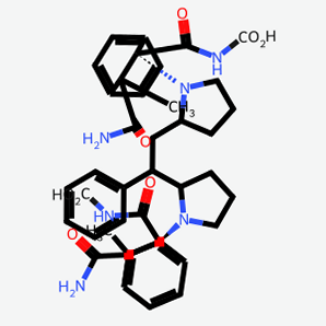 CC1(C(N)=O)c2ccc(cc2)[C@]1(C(=O)NC(=O)O)N1CCCC1CC(c1ccccc1)C1CCCN1[C@@]1(C(=O)NC(=O)O)c2ccc(cc2)C1(C)C(N)=O